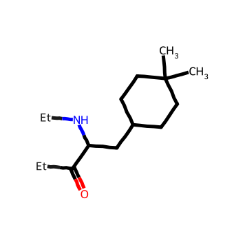 CCNC(CC1CCC(C)(C)CC1)C(=O)CC